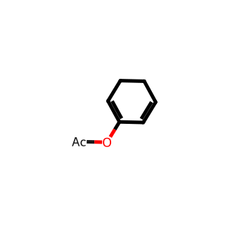 CC(=O)OC1=CCCC=C1